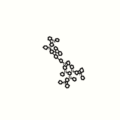 c1ccc(N(c2cc(N(c3ccccc3)c3ccc4c(c3)c3ccccc3n4-c3ccccc3)cc(N(c3ccccc3)c3ccc4c(c3)c3ccccc3n4-c3ccc(-c4ccc5c(c4)C4(c6ccccc6-c6ccccc64)c4cc(N(c6ccccc6)c6ccc7c(c6)c6ccccc6n7-c6ccccc6)ccc4-5)cc3)c2)c2ccc3c(c2)c2ccccc2n3-c2ccccc2)cc1